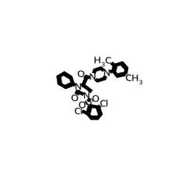 Cc1ccc(C)c(N2CCN(C(=O)C3CN(S(=O)(=O)c4c(Cl)cccc4Cl)C(=O)N3c3ccccc3)CC2)c1